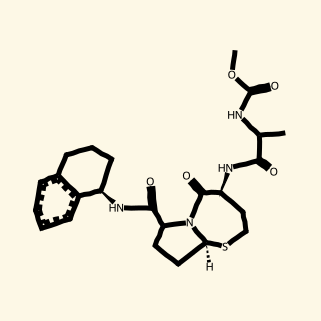 COC(=O)NC(C)C(=O)N[C@H]1CCS[C@H]2CCC(C(=O)N[C@@H]3CCCc4ccccc43)N2C1=O